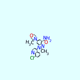 Cc1nc2c(C(N)=O)cc(N3CCOC[C@@H]3C)cc2n1-c1ccnc2c(Cl)cccc12